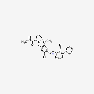 CNC(=O)C1CCCCN1Cc1cc(Cl)c(/C=C/c2nccc(-c3ccccc3)c2C#N)cc1OC